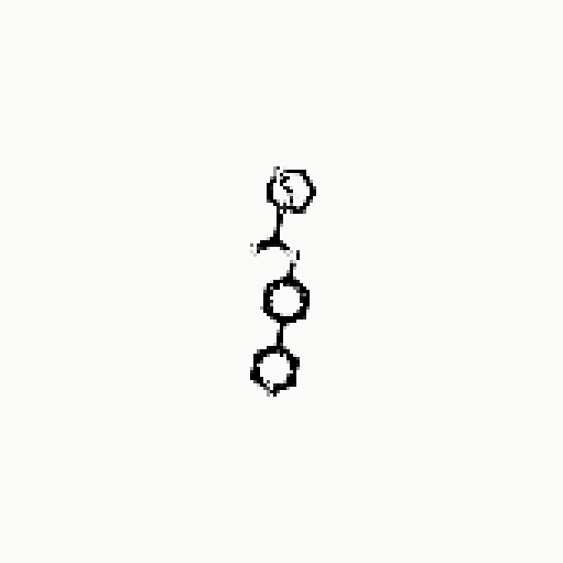 O=C(Oc1ccc(-c2ccncc2)cc1)N1CCN2CCC1CC2